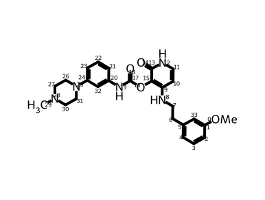 COc1cccc(CCNc2cc[nH]c(=O)c2OC(=O)Nc2cccc(N3CCN(C)CC3)c2)c1